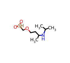 CC(C)NC(C)CCOC[SH](=O)=O